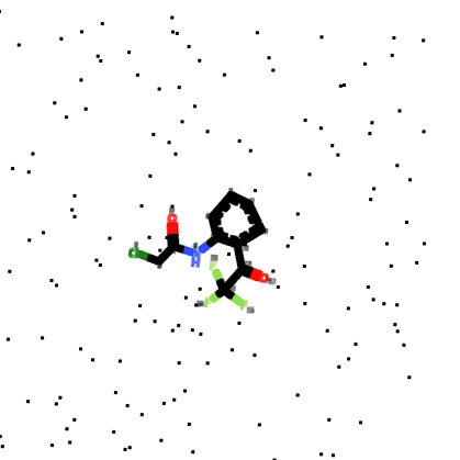 O=C(CCl)Nc1ccccc1C(=O)C(F)(F)F